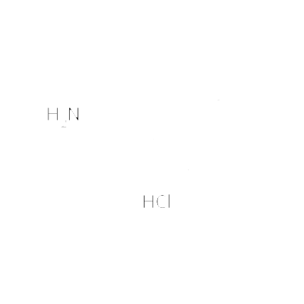 Cl.NCC1CC2C=CC1C2